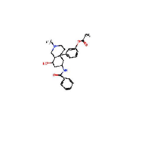 CC(=O)Oc1cccc(C23CCN(C)CC2C(O)CC(NC(=O)c2ccccc2)C3)c1